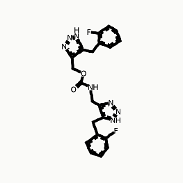 O=C(NCc1nn[nH]c1Cc1ccccc1F)OCc1nn[nH]c1Cc1ccccc1F